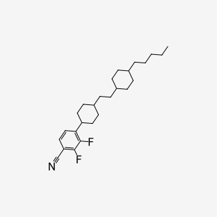 CCCCCC1CCC(CCC2CCC(c3ccc(C#N)c(F)c3F)CC2)CC1